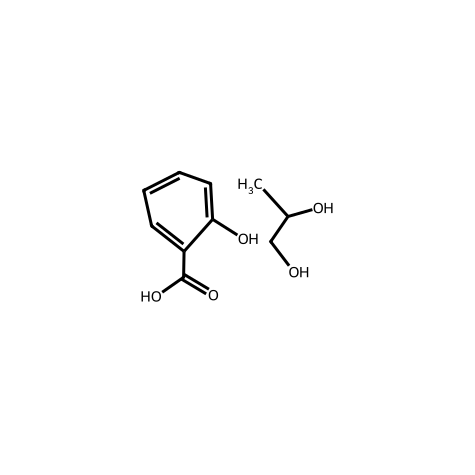 CC(O)CO.O=C(O)c1ccccc1O